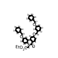 CCOC(=O)CN(C(=O)c1ccc(OCc2cccc(OCc3ccccc3)c2)cc1)c1ccc(OCc2ccccc2)cc1